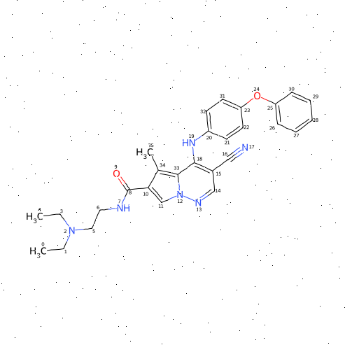 CCN(CC)CCNC(=O)c1cn2ncc(C#N)c(Nc3ccc(Oc4ccccc4)cc3)c2c1C